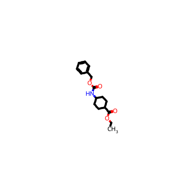 CCOC(=O)C1CCC(NC(=O)OCc2ccccc2)CC1